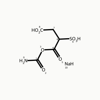 NC(=O)OC(=O)C(CC(=O)O)S(=O)(=O)O.[NaH]